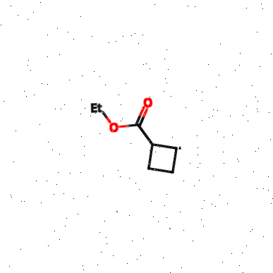 CCOC(=O)C1[CH]CC1